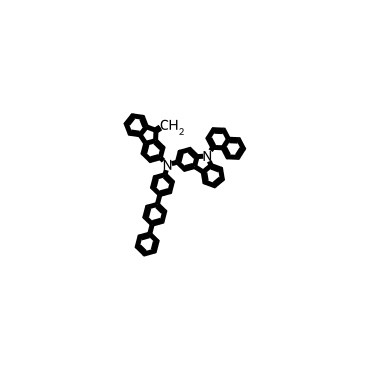 C=C1c2ccccc2-c2ccc(N(c3ccc(-c4ccc(-c5ccccc5)cc4)cc3)c3ccc4c(c3)c3ccccc3n4-c3cccc4ccccc34)cc21